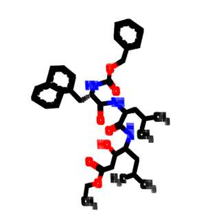 CCOC(=O)CC(O)C(CC(C)C)NC(=O)[C@H](CC(C)C)NC(=O)[C@H](Cc1cccc2ccccc12)NC(=O)OCc1ccccc1